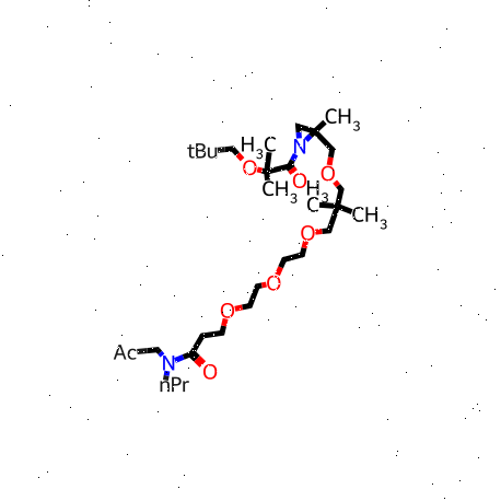 CCCN(CC(C)=O)C(=O)CCOCCOCCOCC(C)(C)COCC1(C)CN1C(=O)C(C)(C)OCC(C)(C)C